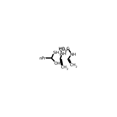 C=CNC(=O)O.C=CNC(=O)O.CCCC(O)[SiH3]